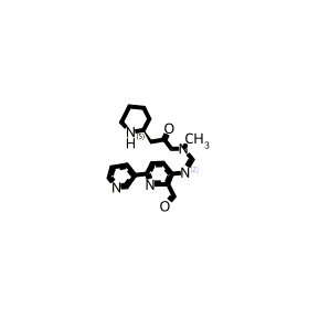 CN(/C=N\c1ccc(-c2cccnc2)nc1C=O)CC(=O)C[C@@H]1CCCCN1